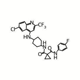 O=C(Nc1ccc(F)cc1)C1(C(=O)NC2CCC(Nc3cc(C(F)(F)F)nc4ccc(Cl)cc34)CC2)CC1